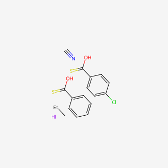 C#N.CCC.I.OC(=S)c1ccc(Cl)cc1.OC(=S)c1ccccc1